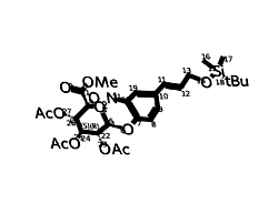 COC(=O)[C@H]1O[C@@H](Oc2ccc(C=CCO[Si](C)(C)C(C)(C)C)cc2[N+](=O)[O-])[C@H](OC(C)=O)[C@@H](OC(C)=O)[C@@H]1OC(C)=O